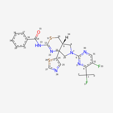 CC(C)(F)c1nc(N2C[C@H]3CSC(NC(=O)c4ccccc4)=NC3(c3cncs3)C2)ncc1F